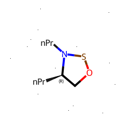 CCC[C@@H]1COSN1CCC